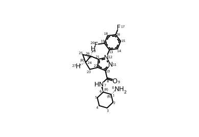 N[C@@H]1CCCC[C@H]1NC(=O)c1nn(-c2ccc(F)cc2F)c2c1C[C@H]1C[C@@H]21